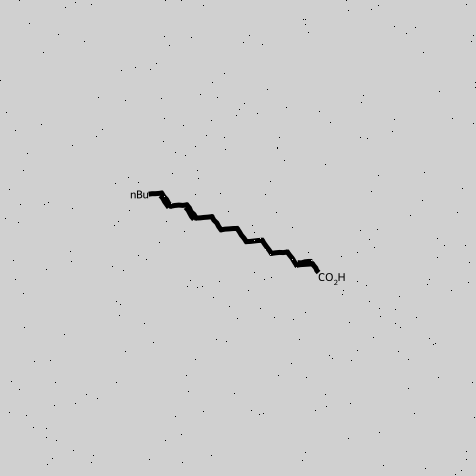 CCCCC=CC=CCCCCCCCC=CC(=O)O